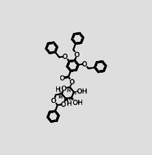 O=C(O[C@@H]1O[C@@H]2COC(c3ccccc3)O[C@H]2[C@H](O)[C@H]1O)c1cc(OCc2ccccc2)c(OCc2ccccc2)c(OCc2ccccc2)c1